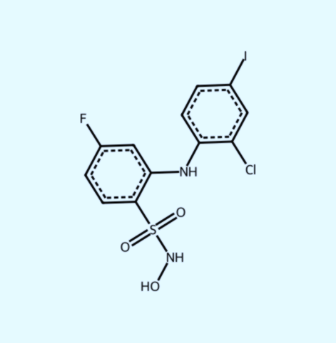 O=S(=O)(NO)c1ccc(F)cc1Nc1ccc(I)cc1Cl